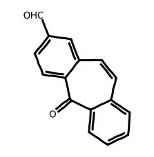 O=Cc1ccc2c(=O)c3ccccc3ccc2c1